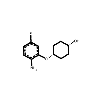 Nc1ccc(F)cc1O[C@H]1CC[C@@H](O)CC1